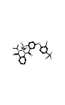 CC(C)N1C(=O)c2ccccc2N(C(=O)c2cc(Oc3ccc(C(F)(F)F)cc3Cl)ccc2[N+](=O)[O-])S1(=O)=O